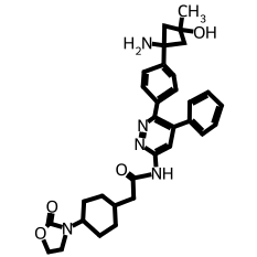 CC1(O)CC(N)(c2ccc(-c3nnc(NC(=O)CC4CCC(N5CCOC5=O)CC4)cc3-c3ccccc3)cc2)C1